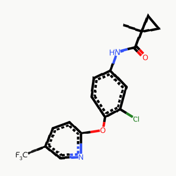 CC1(C(=O)Nc2ccc(Oc3ccc(C(F)(F)F)cn3)c(Cl)c2)CC1